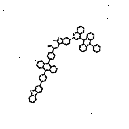 C=C/C(=C\c1c(C)oc2cc(-c3cc(-c4c5ccccc5c(-c5ccccc5)c5ccccc45)c4ccccc4c3)ccc12)c1ccc(-c2c3ccccc3c(-c3ccc(-c4ccc5c(c4)oc4ccccc45)cc3)c3ccccc23)cc1